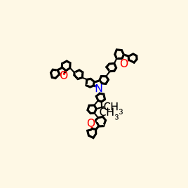 CC1(C)c2ccc(-n3c4ccc(-c5ccc(-c6cccc7c6oc6ccccc67)cc5)cc4c4cc(-c5ccc(-c6cccc7c6oc6ccccc67)cc5)ccc43)cc2-c2cccc(-c3cccc4c3oc3ccccc34)c21